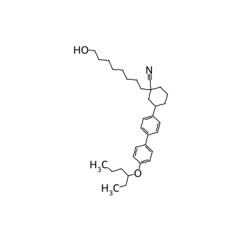 CCCC(CC)Oc1ccc(-c2ccc(C3CCCC(C#N)(CCCCCCCCO)C3)cc2)cc1